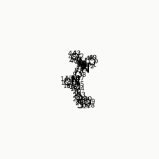 c1ccc(C2N=C(c3ccc(-n4c5ccccc5c5cc(-c6ccc7sc8ccccc8c7c6)ccc54)cc3)N3C(c4ccccc4)N23)cc1